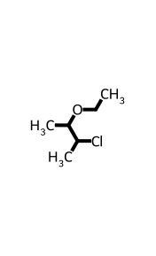 CCOC(C)C(C)Cl